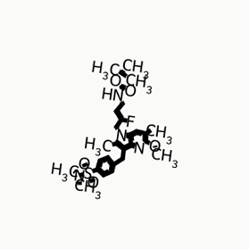 COc1nc2c(Cc3ccc(S(=O)(=O)N(C)C)cc3)c(C)n(C/C(F)=C/CNC(=O)OC(C)(C)C)c2cc1C